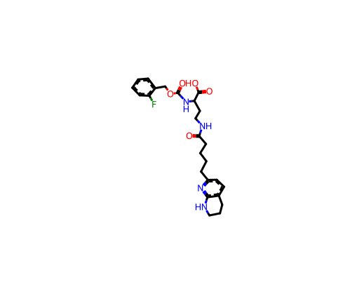 O=C(CCCCc1ccc2c(n1)NCCC2)NCCC(NC(=O)OCc1ccccc1F)C(=O)O